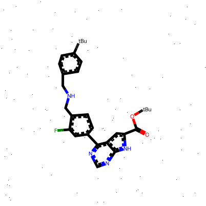 CC(C)(C)OC(=O)c1cc2c(-c3ccc(CNCc4ccc(C(C)(C)C)cc4)c(F)c3)ncnc2[nH]1